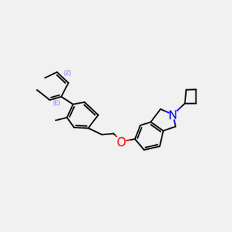 C/C=C\C(=C/C)c1ccc(CCOc2ccc3c(c2)CN(C2CCC2)C3)cc1C